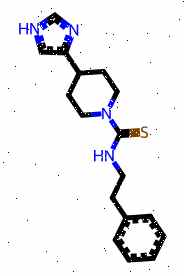 S=C(NCCc1ccccc1)N1CCC(c2c[nH]cn2)CC1